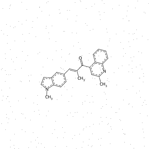 C/C(=C\c1ccc2c(ccn2C)c1)C(=O)c1cc(C)nc2ccccc12